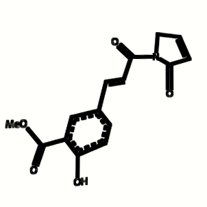 COC(=O)c1cc(/C=C/C(=O)N2CC=CC2=O)ccc1O